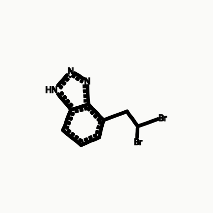 BrC(Br)Cc1cccc2[nH]nnc12